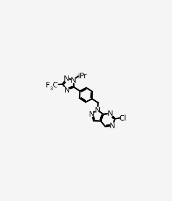 CC(C)n1nc(C(F)(F)F)nc1-c1ccc(Cn2ncc3cnc(Cl)nc32)cc1